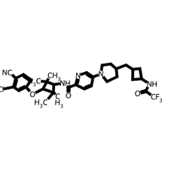 CC1(C)C(NC(=O)c2ccc(N3CCC(CC4CC(NC(=O)C(F)(F)F)C4)CC3)cn2)C(C)(C)C1Oc1ccc(C#N)c(Cl)c1